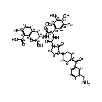 NCc1cccc(C(=O)N2CCC(N3CCN(C(=O)N[C@@H](C(=O)N[C@H]4Cc5ccc(F)c(C(=O)O)c5OB4O)c4cc(F)c(O)c(O)c4Cl)C3=O)CC2)c1